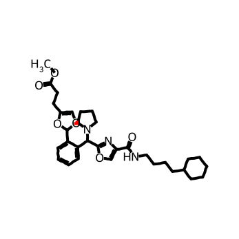 COC(=O)CCC1=COC(c2ccccc2C(c2nc(C(=O)NCCCCC3CCCCC3)co2)N2CCCC2)O1